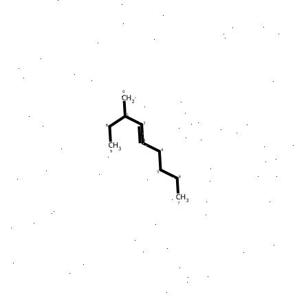 [CH2]C(C=CCCCC)CC